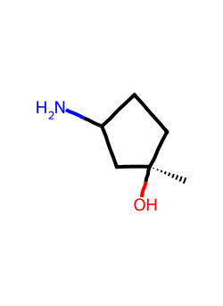 C[C@@]1(O)CCC(N)C1